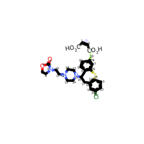 O=C(O)/C=C\C(=O)O.O=C1OCCN1CCN1CCN(C2Cc3cc(Cl)ccc3Sc3cc(F)ccc32)CC1